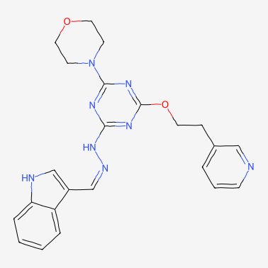 C(=N/Nc1nc(OCCc2cccnc2)nc(N2CCOCC2)n1)/c1c[nH]c2ccccc12